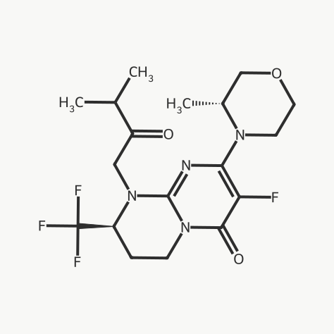 CC(C)C(=O)CN1c2nc(N3CCOC[C@H]3C)c(F)c(=O)n2CC[C@H]1C(F)(F)F